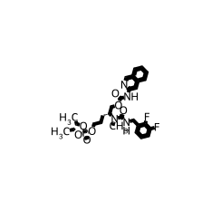 CCOP(=O)(OCC)OCCC[C@H](COC(=O)Nc1cc2ccccc2cn1)N(C)C(=O)NCc1cccc(F)c1F